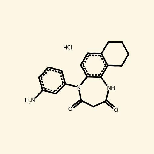 Cl.Nc1cccc(N2C(=O)CC(=O)Nc3c2ccc2c3CCCC2)c1